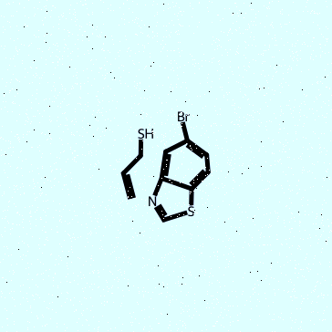 Brc1ccc2scnc2c1.C=CCS